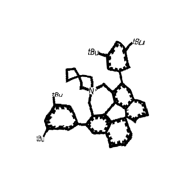 CC(C)(C)c1cc(-c2cc3ccccc3c3c2C[N+]2(Cc4c(-c5cc(C(C)(C)C)cc(C(C)(C)C)c5)cc5ccccc5c4-3)CC3(CCC3)C2)cc(C(C)(C)C)c1